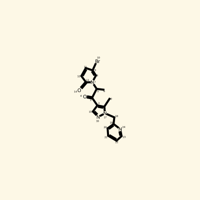 Cc1c(C(=O)C(C)n2cc(Br)ccc2=O)cnn1Cc1ccccn1